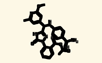 COc1cc(C(Nc2ccc(C(=N)N)cc2)c2nn(-c3ccccc3C(=O)OC(C)=O)c(=O)[nH]2)cc(C)n1